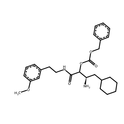 COc1cccc(CCNC(=O)C(OC(=O)OCc2ccccc2)[C@H](N)CC2CCCCC2)c1